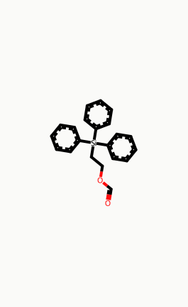 O=COCC[Si](c1ccccc1)(c1ccccc1)c1ccccc1